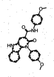 COc1ccc(NC(=O)c2cc3[nH]c4ccccc4c3n(-c3ccc(OC)cc3)c2=O)cc1